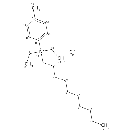 CCCCCCCCCC[N+](CC)(CC)c1ccc(C)cc1.[Cl-]